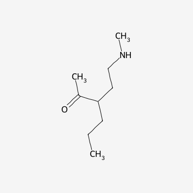 CCCC(CCNC)C(C)=O